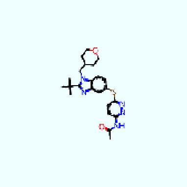 CC(=O)Nc1ccc(Sc2ccc3c(c2)nc(C(C)(C)C)n3CC2CCOCC2)nn1